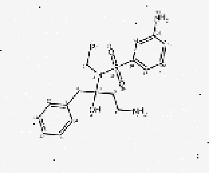 CC(C)CN(C(O)(CCN)Cc1ccccc1)S(=O)(=O)c1cccc(N)c1